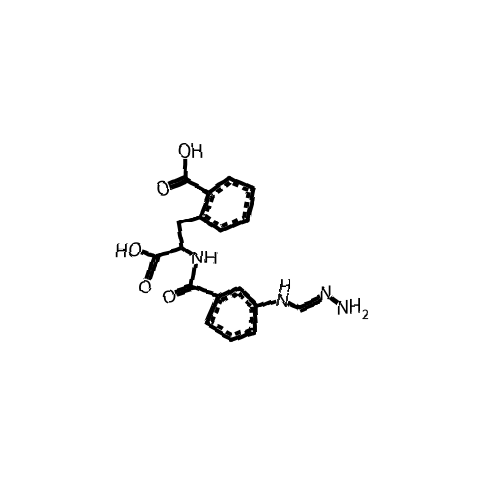 NN=CNc1cccc(C(=O)NC(Cc2ccccc2C(=O)O)C(=O)O)c1